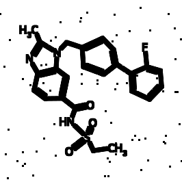 CCS(=O)(=O)NC(=O)c1ccc2nc(C)n(Cc3ccc(-c4ccccc4F)cc3)c2c1